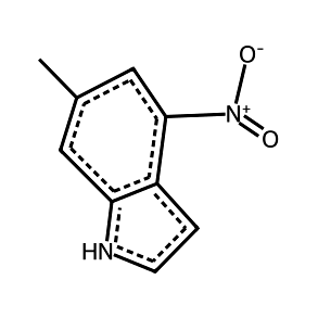 Cc1cc([N+](=O)[O-])c2cc[nH]c2c1